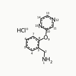 Cl.NCc1ccccc1Oc1cnccn1